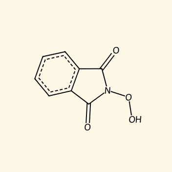 O=C1c2ccccc2C(=O)N1OO